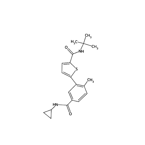 Cc1ccc(C(=O)NC2CC2)cc1-c1ccc(C(=O)NC(C)(C)C)s1